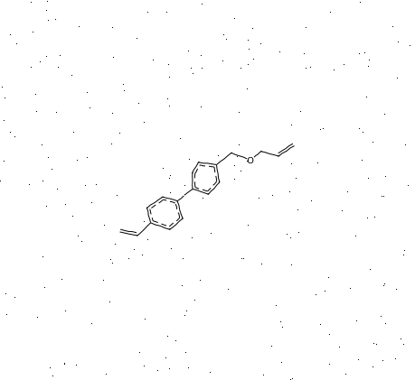 C=CCOCc1ccc(-c2ccc(C=C)cc2)cc1